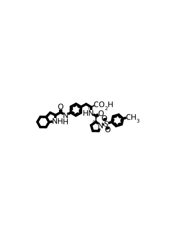 Cc1ccc(S(=O)(=O)N2CCC[C@H]2C(=O)N[C@@H](Cc2ccc(NC(=O)C3CC4CCCCC4N3)cc2)C(=O)O)cc1